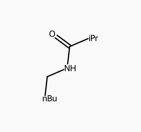 CCCCCNC(=O)C(C)C